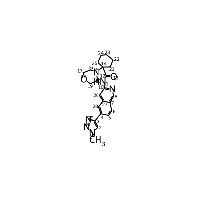 Cn1cc(-c2ccc3cnc(NC(=O)C4(N5CCOCC5)CCCCC4)cc3c2)nn1